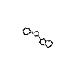 c1ccc(N2CCC(c3ccc4ccccc4c3)=N2)cc1